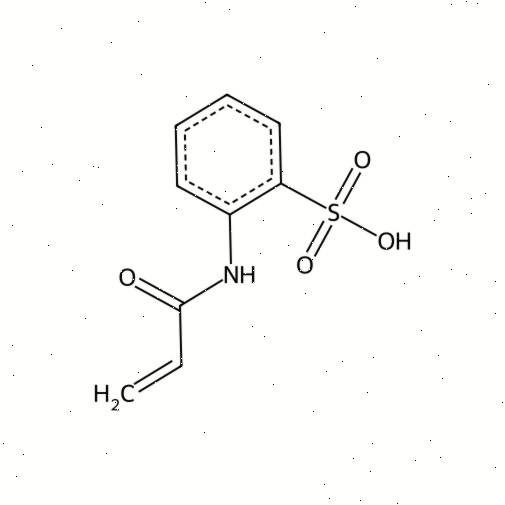 C=CC(=O)Nc1ccccc1S(=O)(=O)O